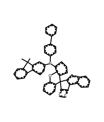 CC1(C)c2ccccc2-c2ccc(N(c3ccc(-c4ccccc4)cc3)c3cccc4c3Oc3ccccc3C43c4ccccc4-c4c3ccc3ccccc43)cc21